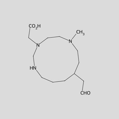 CN1CCC(CC=O)CCCNCN(CC(=O)O)CC1